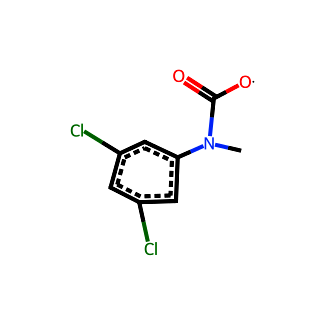 CN(C([O])=O)c1cc(Cl)cc(Cl)c1